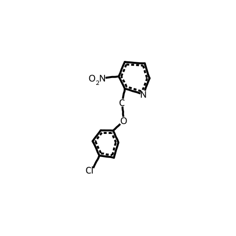 O=[N+]([O-])c1cccnc1COc1ccc(Cl)cc1